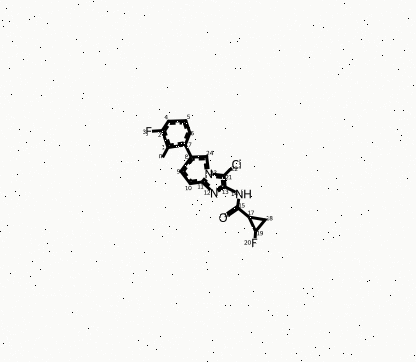 Cc1c(F)cccc1-c1ccc2nc(NC(=O)C3CC3F)c(Cl)n2c1